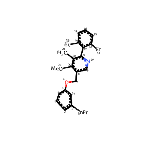 CCCc1cccc(OCc2cnc(-c3c(CC)cccc3CC)c(C)c2OC)c1